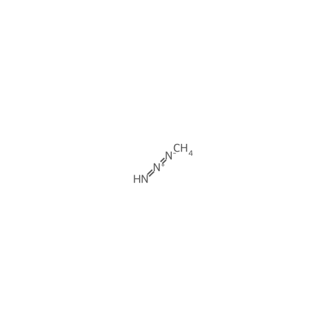 C.[N-]=[N+]=N